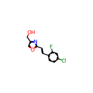 OCc1coc(/C=C/c2ccc(Cl)cc2F)n1